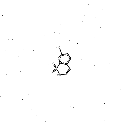 Cc1ccc2c(n1)S(=O)(=O)NC=C2